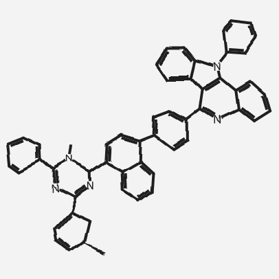 C[C@H]1C=CC=C(C2=NC(c3ccc(-c4ccc(-c5nc6ccccc6c6c5c5ccccc5n6-c5ccccc5)cc4)c4ccccc34)N(C)C(c3ccccc3)=N2)C1